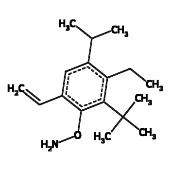 C=Cc1cc(C(C)C)c(CC)c(C(C)(C)C)c1ON